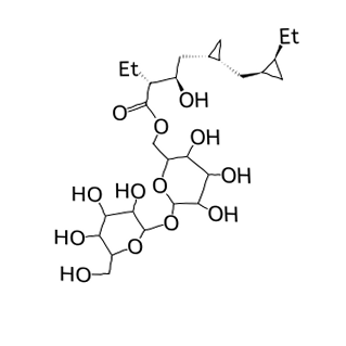 CC[C@H]1C[C@H]1C[C@H]1C[C@H]1C[C@@H](O)[C@@H](CC)C(=O)OCC1OC(OC2OC(CO)C(O)C(O)C2O)C(O)C(O)C1O